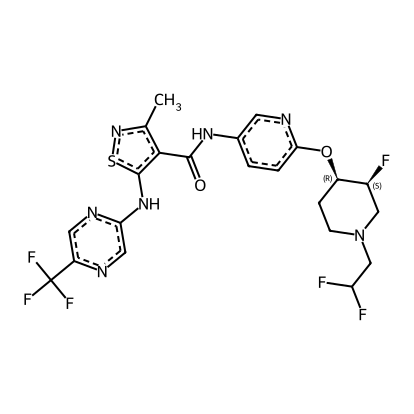 Cc1nsc(Nc2cnc(C(F)(F)F)cn2)c1C(=O)Nc1ccc(O[C@@H]2CCN(CC(F)F)C[C@@H]2F)nc1